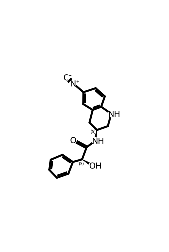 [C-]#[N+]c1ccc2c(c1)C[C@H](NC(=O)[C@@H](O)c1ccccc1)CN2